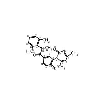 Cc1cc(C)n(-c2cc(C(=O)N(C)c3c(C)cccc3C)ccc2Cl)c(=O)n1